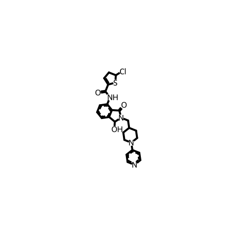 O=C(Nc1cccc2c1C(=O)N(CC1CCN(c3ccncc3)CC1)C2O)C1=CCC(Cl)S1